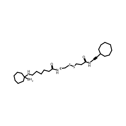 BC1(NCCCCCC(=O)NCCSSCCC(=O)NC#CC2CCCCCCC2)CCCCCC1